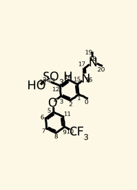 Cc1cc(Oc2cccc(C(F)(F)F)c2)c(C)cc1/N=C/N(C)C.O=S(=O)(O)O